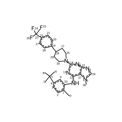 Cc1ccc(C(C)(C)C)cc1Nc1nc(N2CCC(c3ccc(C(F)(F)F)cc3)CC2)nc2ncn(C)c12